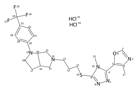 Cc1ncoc1-c1nnc(SCCCN2CC3CCN(c4ccc(C(F)(F)F)cc4)C3C2)n1C.Cl.Cl